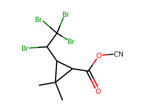 CC1(C)C(C(=O)OC#N)C1C(Br)C(Br)(Br)Br